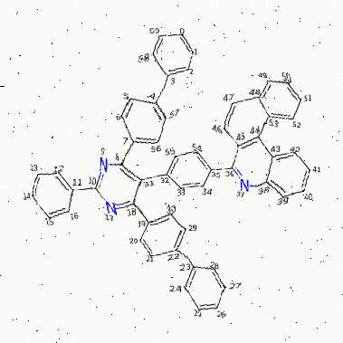 c1ccc(-c2ccc(-c3nc(-c4ccccc4)nc(-c4ccc(-c5ccccc5)cc4)c3-c3ccc(-c4nc5ccccc5c5c4ccc4ccccc45)cc3)cc2)cc1